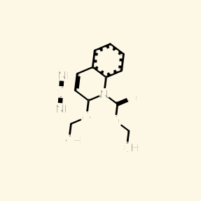 CCOC(=O)N1c2ccccc2C=CC1OCC.N=C=N